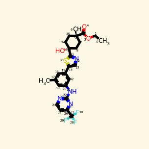 CCOC(=O)[C@]1(C)CC[C@@](O)(c2ncc(-c3cc(C)cc(Nc4nccc(C(F)(F)F)n4)c3)s2)CC1